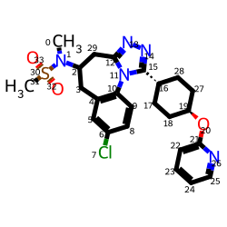 CN(C1Cc2cc(Cl)ccc2-n2c(nnc2[C@H]2CC[C@H](Oc3ccccn3)CC2)C1)S(C)(=O)=O